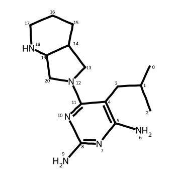 CC(C)Cc1c(N)nc(N)nc1N1CC2CCCNC2C1